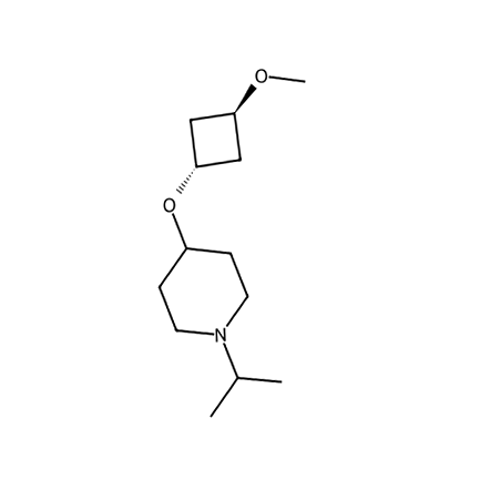 CO[C@H]1C[C@H](OC2CCN(C(C)C)CC2)C1